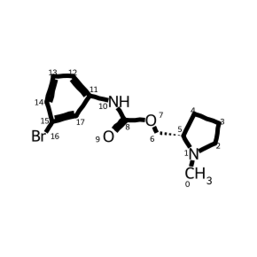 CN1CCC[C@H]1COC(=O)Nc1cccc(Br)c1